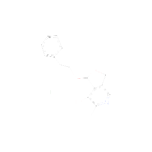 Cc1ncc2c(c1O)C(OCCc1ccccc1)OC2.Cl